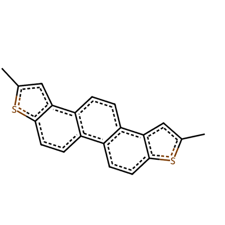 Cc1cc2c(ccc3c2ccc2c4cc(C)sc4ccc23)s1